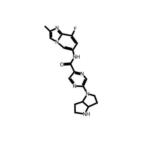 Cc1cn2cc(NC(=O)c3cnc(N4CCC5NCCC54)cn3)cc(F)c2n1